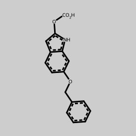 O=C(O)Oc1cc2ccc(OCc3ccccc3)cc2[nH]1